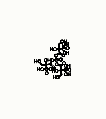 O=C(OP(=O)(OC(=O)C(O)(CO)P(=O)(O)O)OC(=O)C(O)(CO)P(=O)(O)O)C(O)(CO)P(=O)(O)O